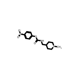 CN1CCC(CNC(=O)Oc2ccc([N+](=O)[O-])cc2)CC1